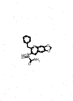 CCNC(N)=O.O=C(O)c1cc2cc3c(cc2nc1Cc1ccccc1)OCO3